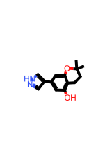 CC1(C)CCc2c(O)cc(-c3cn[nH]c3)cc2O1